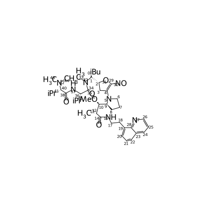 CC[C@H](C)C([C@H]1CC(N2CCC[C@H]2[C@H](OC)[C@@H](C)C(=O)NCCc2cccc3cccnc23)=C(N=O)O1)N(C)C(=O)[C@@H](NC(=O)[C@H](C(C)C)N(C)C)C(C)C